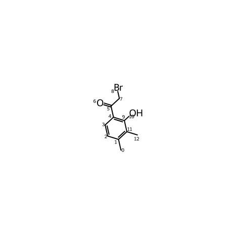 Cc1ccc(C(=O)CBr)c(O)c1C